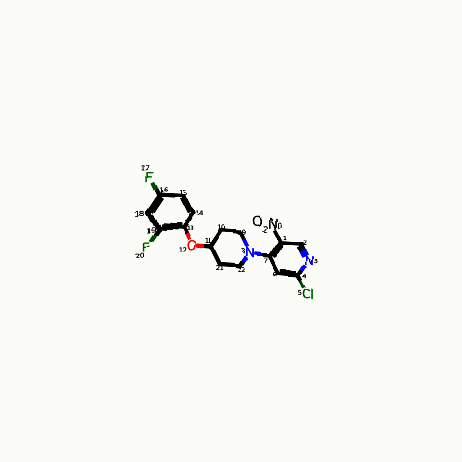 O=[N+]([O-])c1cnc(Cl)cc1N1CCC(Oc2ccc(F)cc2F)CC1